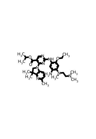 CCOc1cc(N(C)CCN(C)C)c(N)cc1Nc1ncc(C(=O)OC(C)C)c(N2CC(C)(C)c3nc(C)ccc32)n1